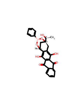 C[C@@H](O)[C@]12Cc3c(O)c4c(c(O)c3[C@H](C1)OB(c1ccccc1)O2)C(=O)c1ccccc1C4=O